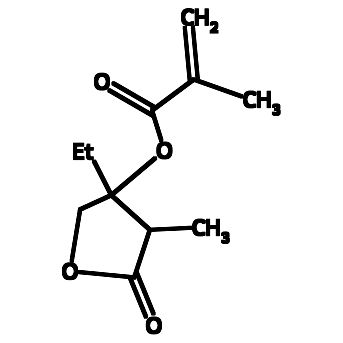 C=C(C)C(=O)OC1(CC)COC(=O)C1C